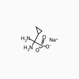 NC(N)(C1CC1)S(=O)(=O)[O-].[Na+]